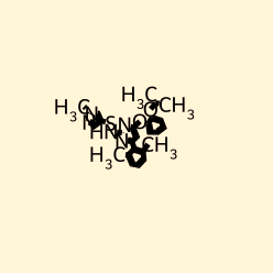 Cc1cccc(C)c1-c1cc(Oc2ccccc2OC(C)C)nc(NSc2cnn(C)c2)n1